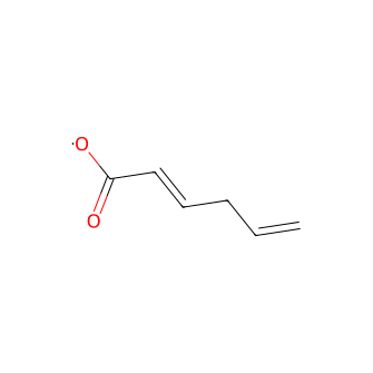 C=CCC=CC([O])=O